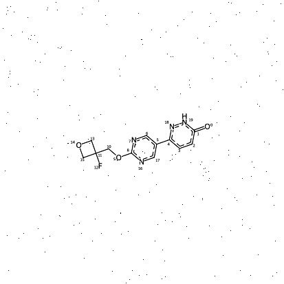 O=c1ccc(-c2cnc(OCC3(F)COC3)nc2)n[nH]1